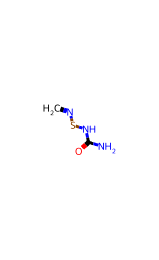 C=NSNC(N)=O